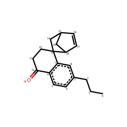 CCCc1ccc2c(c1)C1(CCC2=O)CC2C=CC1C2